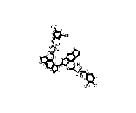 O=C(Nc1c2c(cc3c1CC(C1CCc4cc5c(c(NC(=O)NS(=O)(=O)Cc6cc(Cl)cc(Cl)c6)c41)CCC5)C3)CCC2)NS(=O)(=O)Cc1ccc(Cl)c(Cl)c1